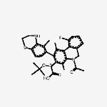 CC(=O)N1Cc2cccc(F)c2-c2c(C)c(-c3ccc4c(c3C)NCCO4)c([C@H](OC(C)(C)C)C(=O)O)c(C)c21